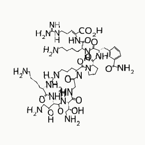 N=C(N)NCC/C=C(\NC(=O)[C@H](CCCCN)NC(=O)[C@H](Cc1cccc(C(N)=O)c1)NC(=O)[C@@H]1CCCN1C(=O)/C(CCCN)=N/C(=O)CNC(=O)[C@@H](NC(=O)[C@@H](NC(=O)[C@@H](N)CCCCN)[C@@H](O)CN)[C@@H](O)CN)C(=O)O